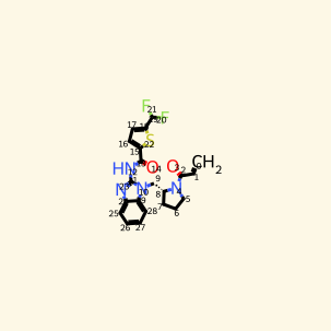 C=CC(=O)N1CCC[C@@H]1Cn1c(NC(=O)c2ccc(C(F)F)s2)nc2ccccc21